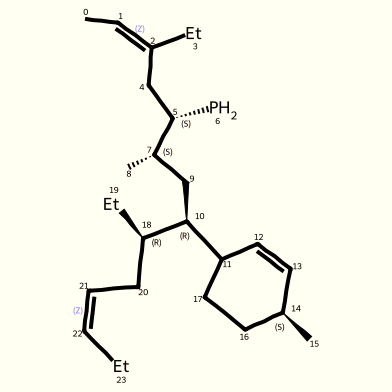 C/C=C(/CC)C[C@H](P)[C@@H](C)C[C@@H](C1C=C[C@@H](C)CC1)[C@H](CC)C/C=C\CC